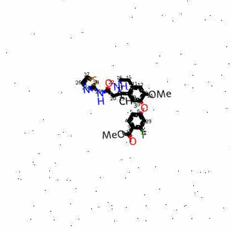 COC(=O)c1ccc(Oc2cc3c(cc2OC)CCN[C@]3(C)CC(=O)Nc2nccs2)cc1F